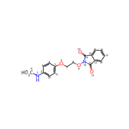 O=C(O)Nc1ccc(OCCON2C(=O)c3ccccc3C2=O)cc1